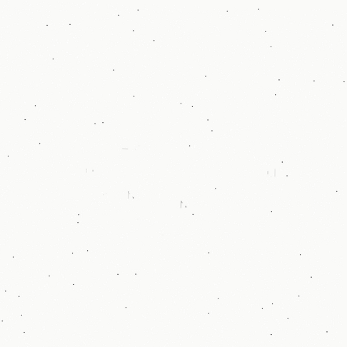 CC(c1nc2cccc(Cl)c2cc1-c1ccccc1)N1C(=O)c2ccccc2C1=O